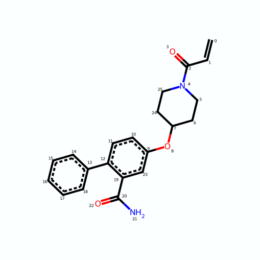 C=CC(=O)N1CCC(Oc2ccc(-c3ccccc3)c(C(N)=O)c2)CC1